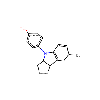 CCC1C=CC2=C(C1)C1CCCC1N2c1ccc(O)cc1